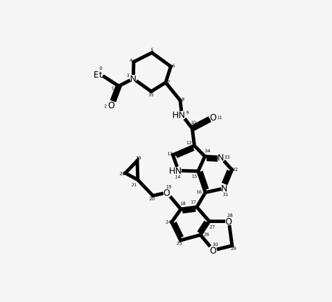 CCC(=O)N1CCCC(CNC(=O)c2c[nH]c3c(-c4c(OCC5CC5)ccc5c4OCO5)ncnc23)C1